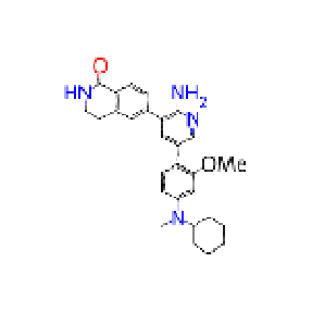 COc1cc(N(C)C2CCCCC2)ccc1-c1cnc(N)c(-c2ccc3c(c2)CCNC3=O)c1